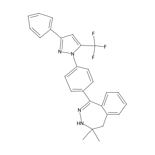 CC1(C)Cc2ccccc2C(c2ccc(-n3nc(-c4ccccc4)cc3C(F)(F)F)cc2)=NN1